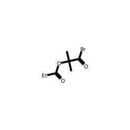 CCC(=O)OC(C)(C)C(=O)Br